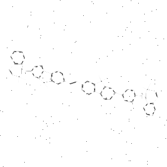 CC1(C)c2cc(/C=C/c3ccc4c(c3)C(C)(C)c3cc(N5c6ccccc6C=CC5(C)C)ccc3-4)ccc2-c2ccc(-c3ccc(N4c5ccccc5C=CC4(C)C)cc3)cc21